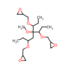 CCC(CC(O[SiH3])(C(CC)OCC1CO1)C(CC)OCC1CO1)OCC1CO1